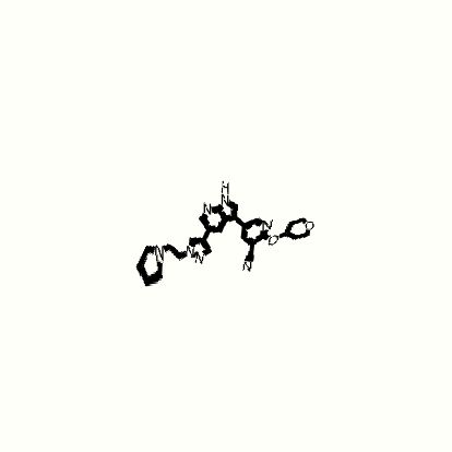 N#Cc1cc(-c2c[nH]c3ncc(-c4cnn(CCN5CCCC5)c4)cc23)cnc1OC1CCOCC1